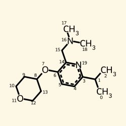 CC(C)c1ccc(OC2CCOCC2)c(CN(C)C)n1